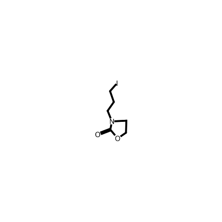 O=C1OCCN1CCCI